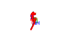 CCCCCCCCCCCCCC(=O)Nc1ccc(-c2cc(=O)oc3cc(O[C@H](C)C(=O)N4CCN(C(=O)CCC[P+](c5ccccc5)(c5ccccc5)c5ccccc5)CC4)ccc23)c(Cl)c1.[Cl-]